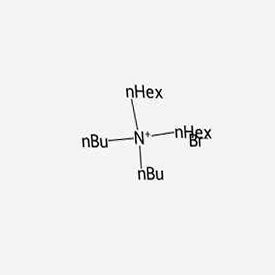 CCCCCC[N+](CCCC)(CCCC)CCCCCC.[Br-]